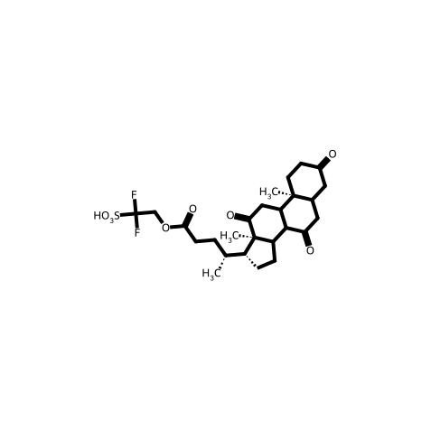 C[C@H](CCC(=O)OCC(F)(F)S(=O)(=O)O)[C@H]1CCC2C3C(=O)CC4CC(=O)CC[C@]4(C)C3CC(=O)[C@@]21C